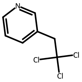 ClC(Cl)(Cl)Cc1cccnc1